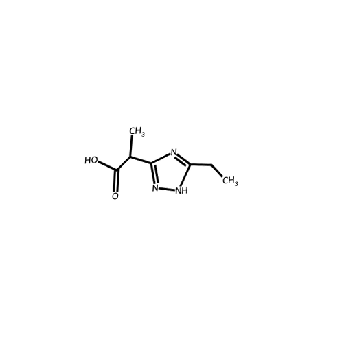 CCc1nc(C(C)C(=O)O)n[nH]1